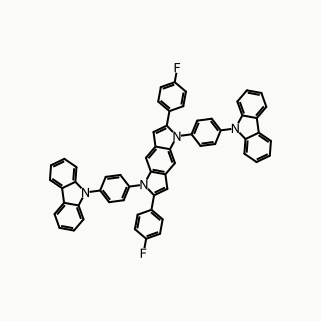 Fc1ccc(-c2cc3cc4c(cc(-c5ccc(F)cc5)n4-c4ccc(-n5c6ccccc6c6ccccc65)cc4)cc3n2-c2ccc(-n3c4ccccc4c4ccccc43)cc2)cc1